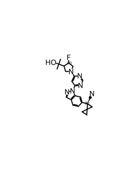 CC(C)(O)C1CN(c2cc(-n3ncc4ccc([C@]5(C#N)CC56CC6)cc43)ncn2)C[C@@H]1F